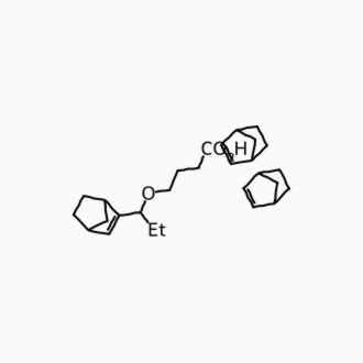 C1=CC2CCC1C2.C1=CC2CCC1C2.CCC(OCCCC(=O)O)C1=CC2CCC1C2